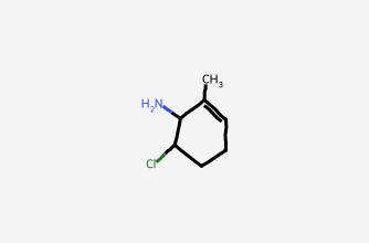 CC1=CCCC(Cl)C1N